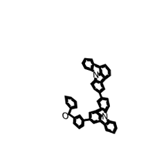 O=C(c1ccccc1)c1cccc(-c2cc3c4ccccc4n4c5ccc(-c6ccc7c(c6)c6cccc8c9ccccc9n7c86)cc5c(c2)c34)c1